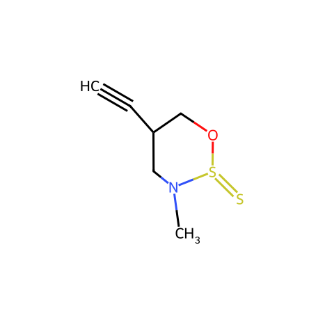 C#CC1COS(=S)N(C)C1